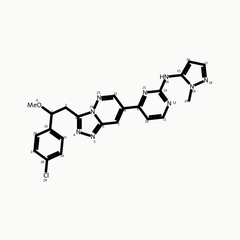 COC(Cc1nnc2cc(-c3ccnc(Nc4ccnn4C)n3)cnn12)c1ccc(Cl)cc1